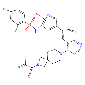 C=C(F)C(=O)N1CC2(CCN(c3ncnc4ccc(-c5cnc(OC)c(NS(=O)(=O)c6ccc(F)cc6F)c5)cc34)CC2)C1